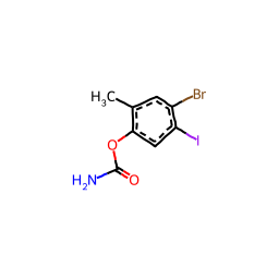 Cc1cc(Br)c(I)cc1OC(N)=O